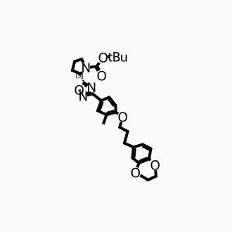 Cc1cc(-c2noc([C@@H]3CCCN3C(=O)OC(C)(C)C)n2)ccc1OCCCc1ccc2c(c1)OCCO2